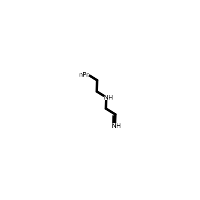 CCCCCNCC=N